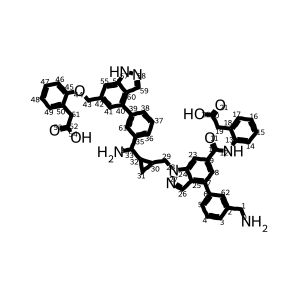 NCc1cccc(-c2cc(C(=O)Nc3ccccc3CC(=O)O)cc3c2cnn3CC2CC2C(N)c2cccc(-c3cc(COc4ccccc4CC(=O)O)cc4[nH]ncc34)c2)c1